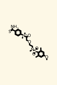 COc1cc(C)c(S(=O)(=O)N(C)CCOCC(=O)[N+](C)(C)c2ccc(C(N)=S)cc2)c(C)c1